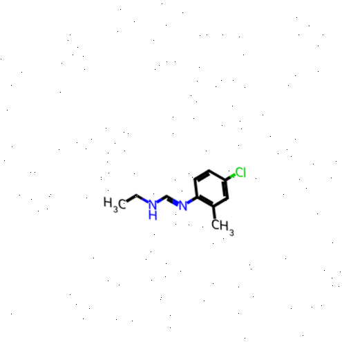 CCNC=Nc1ccc(Cl)cc1C